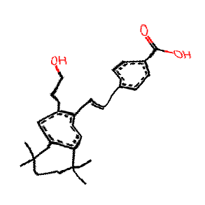 CC1(C)CCC(C)(C)c2cc(CCO)c(/C=C/c3ccc(C(=O)O)cc3)cc21